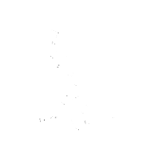 N=CC1=C(Nc2ccc(F)cc2)C=C2CCN(S(=O)(=O)c3ccc(N4CCCCC4)nc3)C[C@@]2(CN2CC[C@@H](O)C2)C1